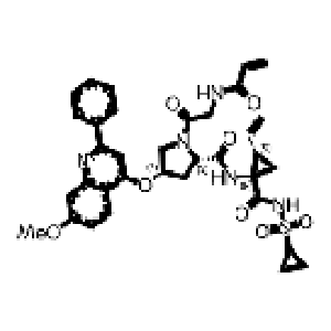 C=CC(=O)NCC(=O)N1C[C@H](Oc2cc(-c3ccccc3)nc3cc(OC)ccc23)C[C@H]1C(=O)N[C@]1(C(=O)NS(=O)(=O)C2CC2)C[C@H]1C=C